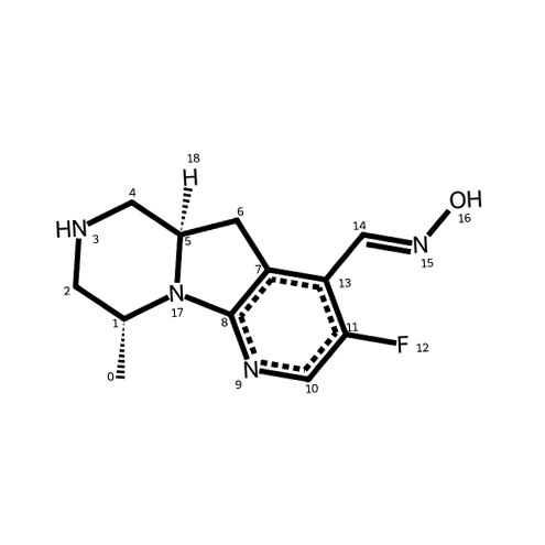 C[C@@H]1CNC[C@H]2Cc3c(ncc(F)c3/C=N/O)N21